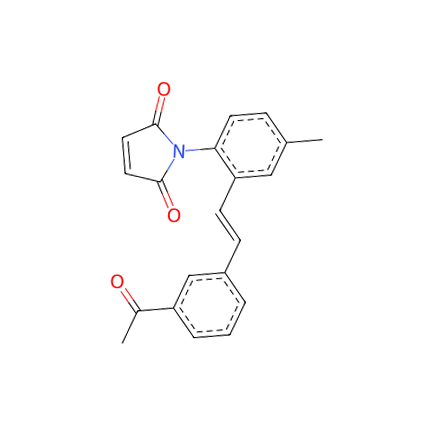 CC(=O)c1cccc(/C=C/c2cc(C)ccc2N2C(=O)C=CC2=O)c1